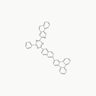 c1ccc(-c2nc(-c3ccc4cc(-c5ccc6c7ccccc7c7ccccc7c6c5)ccc4c3)nc(-c3cc4ccc5ccccc5c4cn3)n2)cc1